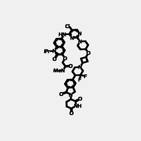 CNC(=O)COc1cc2cc(Nc3nc(N4CCC(OC5CC(N6CCC(c7ccc8c(c7)CN(C7CCC(=O)NC7=O)C8=O)C(F)(F)C6)C5)CC4)ncc3Cl)ccc2n(C(C)C)c1=O